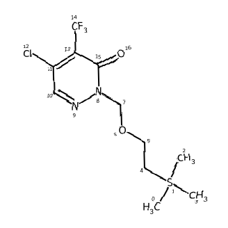 CS(C)(C)CCOCn1ncc(Cl)c(C(F)(F)F)c1=O